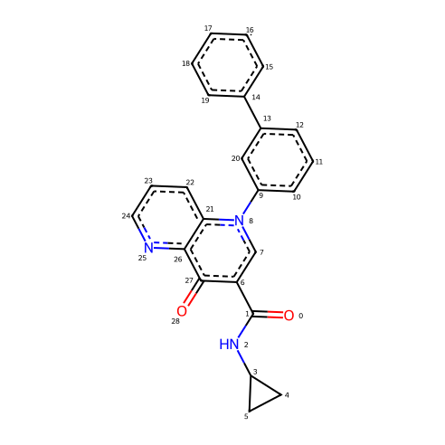 O=C(NC1CC1)c1cn(-c2cccc(-c3c[c]ccc3)c2)c2cccnc2c1=O